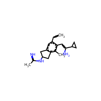 C=Cc1cc2c(c(C)c1/C=C(\N)C1CC1)CC(NC(C)=N)C2